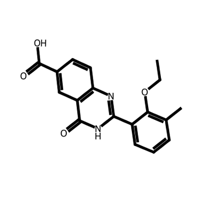 CCOc1c(C)cccc1-c1nc2ccc(C(=O)O)cc2c(=O)[nH]1